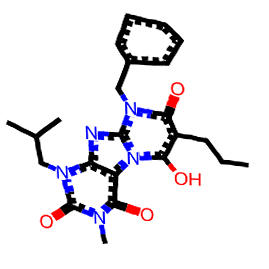 CCCc1c(O)n2c3c(=O)n(C)c(=O)n(CC(C)C)c3nc2n(Cc2ccccc2)c1=O